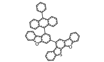 c1ccc(-c2c3ccccc3c(-c3cc(-c4cc5c6ccccc6oc5c5sc6ccccc6c45)cc4oc5ccccc5c34)c3ccccc23)cc1